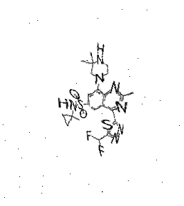 Cc1nc(-c2nnc(C(F)F)s2)c2cc(S(=O)(=O)NC3(C)CC3)cc(N3CCNC(C)(C)C3)c2n1